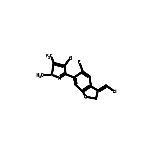 Cn1nc(-c2cc3c(cc2F)C(=CCl)CO3)c(Cl)c1C(F)(F)F